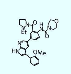 CC[C@H]1CCCN1C(=O)c1cc(-c2cnc3[nH]cc(-c4ccccc4OC)c3c2)ccc1NC(=O)N1CCOCC1